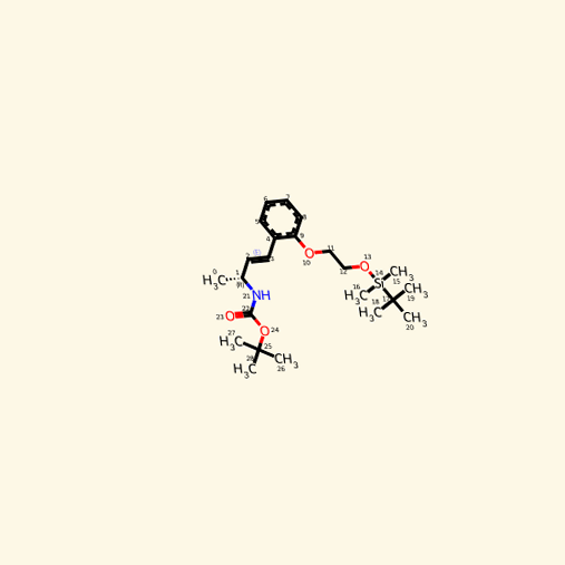 C[C@H](/C=C/c1ccccc1OCCO[Si](C)(C)C(C)(C)C)NC(=O)OC(C)(C)C